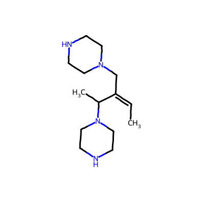 C/C=C(/CN1CCNCC1)C(C)N1CCNCC1